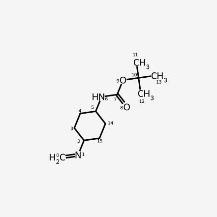 C=NC1CCC(NC(=O)OC(C)(C)C)CC1